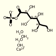 O.O.O.O.O=C(OP(=O)([O-])[O-])[C@H](O)[C@@H](O)[C@H](O)[C@H](O)CO.[Ca+2]